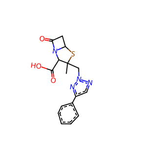 CC1(Cn2ncc(-c3ccccc3)n2)SC2CC(=O)N2C1C(=O)O